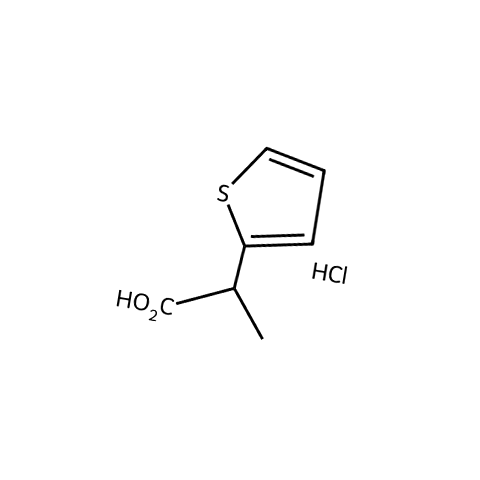 CC(C(=O)O)c1cccs1.Cl